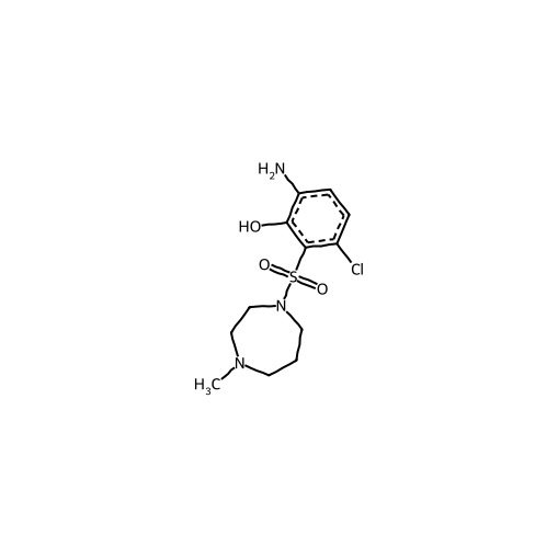 CN1CCCN(S(=O)(=O)c2c(Cl)ccc(N)c2O)CC1